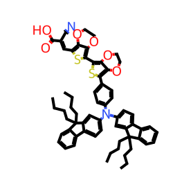 CCCCC1(CCCC)c2ccccc2-c2ccc(N(c3ccc(-c4sc(-c5sc(/C=C(\C#N)C(=O)O)c6c5OCCO6)c5c4OCCO5)cc3)c3ccc4c(c3)C(CCCC)(CCCC)c3ccccc3-4)cc21